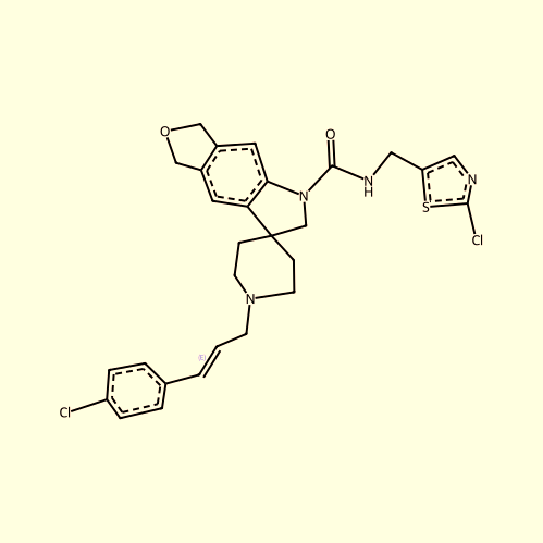 O=C(NCc1cnc(Cl)s1)N1CC2(CCN(C/C=C/c3ccc(Cl)cc3)CC2)c2cc3c(cc21)COC3